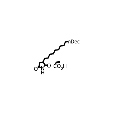 C=CC(=O)O.CCCCCCCCCCCCCCCCCCCC1CC(=O)NC1=O